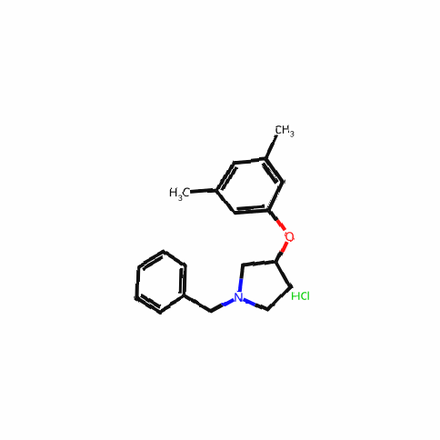 Cc1cc(C)cc(OC2CCN(Cc3ccccc3)C2)c1.Cl